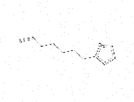 [N]=CCCCCCc1ccco1